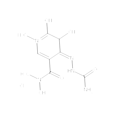 CC1C(=NNC(N)=O)C(C(=O)N(C)C)=C[N+](C)=C1O.[Cl-]